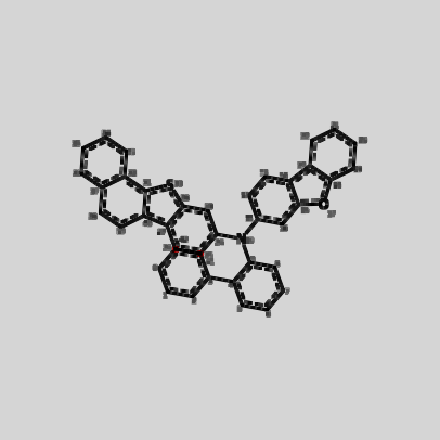 c1ccc(-c2ccccc2N(c2ccc3c(c2)oc2ccccc23)c2ccc3c(c2)sc2c4ccccc4ccc32)cc1